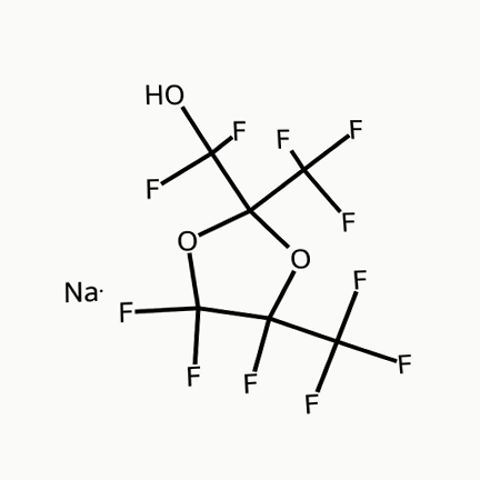 OC(F)(F)C1(C(F)(F)F)OC(F)(F)C(F)(C(F)(F)F)O1.[Na]